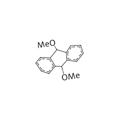 COC1c2ccccc2C(OC)c2ccccc21